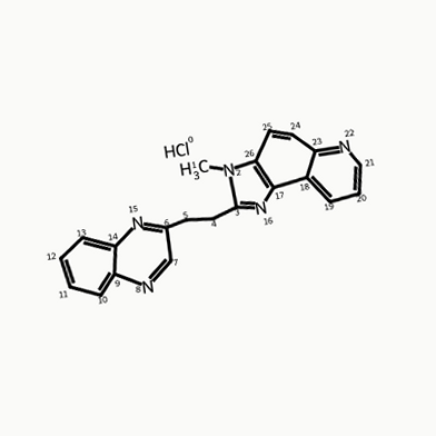 Cl.Cn1c(CCc2cnc3ccccc3n2)nc2c3cccnc3ccc21